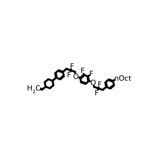 C=CC1CCC(c2ccc(CC(F)(F)COc3ccc(OCC(F)(F)Cc4ccc(CCCCCCCC)cc4)c(F)c3F)cc2)CC1